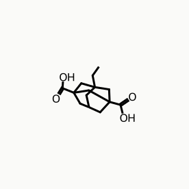 CCC12CC3CC(C(=O)O)(C1)CC(C(=O)O)(C3)C2